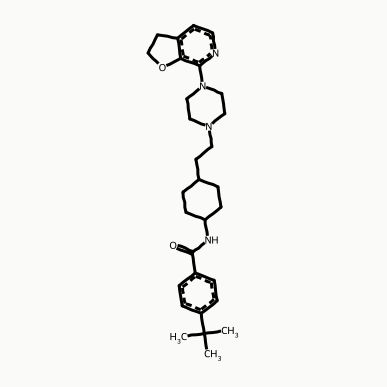 CC(C)(C)c1ccc(C(=O)NC2CCC(CCN3CCN(c4nccc5c4OCC5)CC3)CC2)cc1